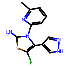 Cc1cccc(N2C(c3cn[nH]c3)=C(F)SC2N)n1